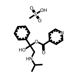 CC(C)NCC(O)(OC(=O)c1ccncc1)c1ccccc1.CS(=O)(=O)O